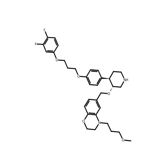 COCCCN1CCOc2ccc(CO[C@H]3CNCC[C@@H]3c3ccc(OCCCOc4ccc(F)c(F)c4)cc3)cc21